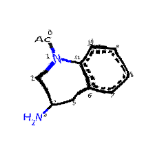 CC(=O)N1CC(N)Cc2ccccc21